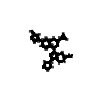 CC(=O)N1CCc2c(c(N3CC(C4CC4)Cc4cc(-c5cnn(C)c5)ccc43)nn2C2CCOC2)C1